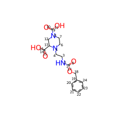 O=C(NCCN1CCN(C(=O)O)CC1C(=O)O)OCc1ccccc1